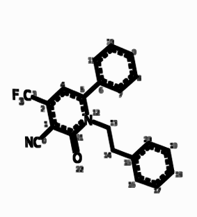 N#Cc1c(C(F)(F)F)cc(-c2ccccc2)n(CCc2ccccc2)c1=O